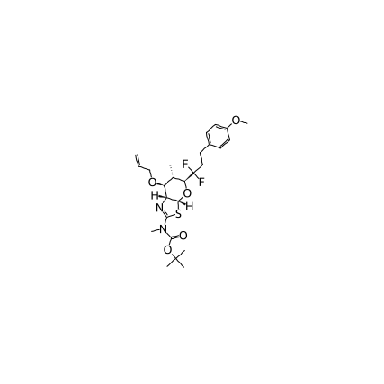 C=CCO[C@H]1[C@H](C)[C@@H](C(F)(F)CCc2ccc(OC)cc2)O[C@@H]2SC(N(C)C(=O)OC(C)(C)C)=N[C@H]12